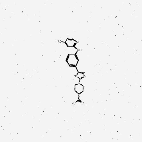 Cc1ccnc(Nc2cccc(-c3cnc(N4CCC(C(=O)O)CC4)o3)c2)c1